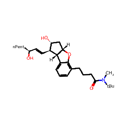 CCCCC[C@H](O)/C=C/[C@@H]1[C@H]2c3cccc(CCCC(=O)N(C)C(C)(C)C)c3O[C@H]2C[C@H]1O